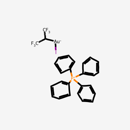 FC(F)(F)[CH]([Au-][I])C(F)(F)F.c1ccc([P+](c2ccccc2)(c2ccccc2)c2ccccc2)cc1